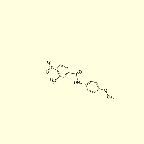 COc1ccc(NC(=O)c2ccc([N+](=O)[O-])c(C)c2)cc1